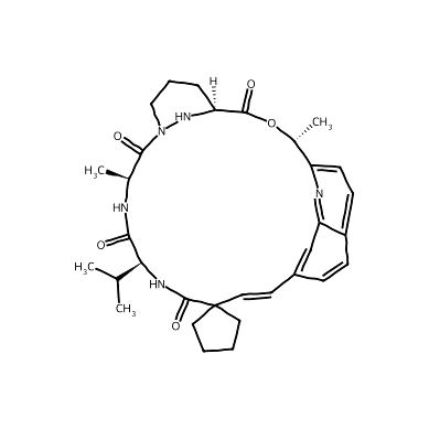 CC(C)[C@@H]1NC(=O)C2(/C=C/c3ccc4ccc(nc4c3)[C@@H](C)OC(=O)[C@@H]3CCCN(N3)C(=O)[C@H](C)NC1=O)CCCC2